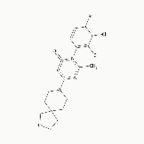 Cc1nc(N2CCC3(CCOC3)CC2)cc(=O)n1C1=C(Cl)C(Cl)C(Br)C=C1